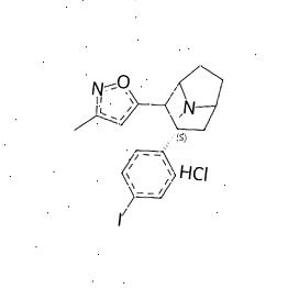 Cc1cc(C2C3CCC(C[C@@H]2c2ccc(I)cc2)N3C)on1.Cl